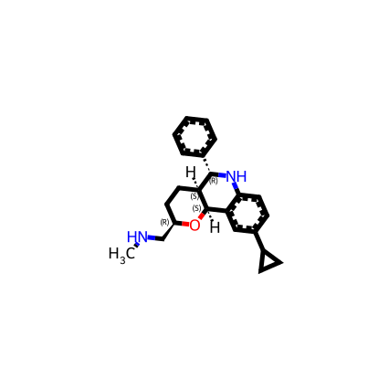 CNC[C@H]1CC[C@@H]2[C@H](O1)c1cc(C3CC3)ccc1N[C@H]2c1ccccc1